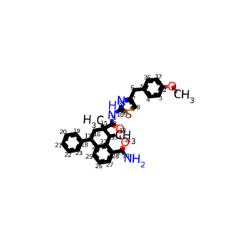 COc1ccc(Cc2csc(NC(=O)C3(C)CC(c4ccccc4)c4cccc(C(N)=O)c4C3C)n2)cc1